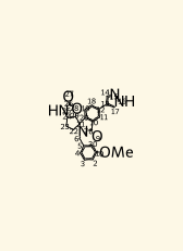 COc1cccc(CN2C(=O)c3cc(-c4cn[nH]c4)ccc3C23CCC2NC(=O)OC23)c1